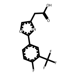 O=C(O)Cc1coc(-c2ccc(F)c(C(F)(F)F)c2)n1